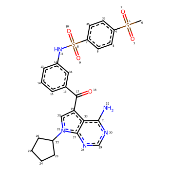 CS(=O)(=O)c1ccc(S(=O)(=O)Nc2cccc(C(=O)c3cn(C4CCCC4)c4ncnc(N)c34)c2)cc1